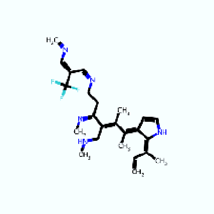 C=C/C(C)=c1/[nH]cc/c1=C(C)\C(C)=C(CNC)\C(CC/N=C\C(=C/N=C)C(F)(F)F)=N/C